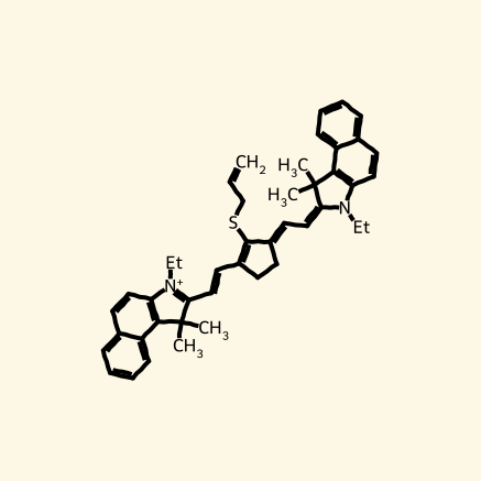 C=CCSC1=C(/C=C/C2=[N+](CC)c3ccc4ccccc4c3C2(C)C)CC/C1=C\C=C1\N(CC)c2ccc3ccccc3c2C1(C)C